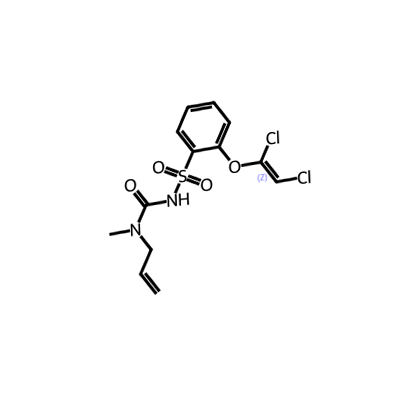 C=CCN(C)C(=O)NS(=O)(=O)c1ccccc1O/C(Cl)=C/Cl